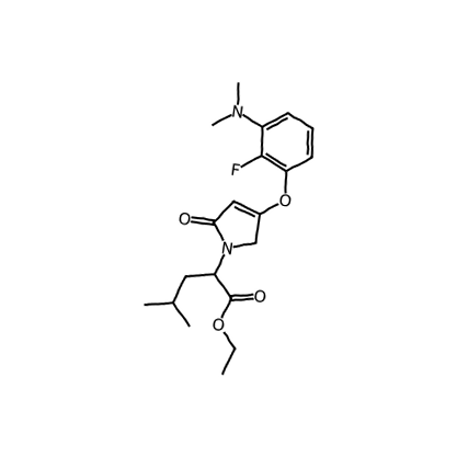 CCOC(=O)C(CC(C)C)N1CC(Oc2cccc(N(C)C)c2F)=CC1=O